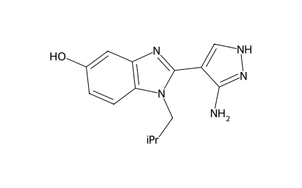 CC(C)Cn1c(-c2c[nH]nc2N)nc2cc(O)ccc21